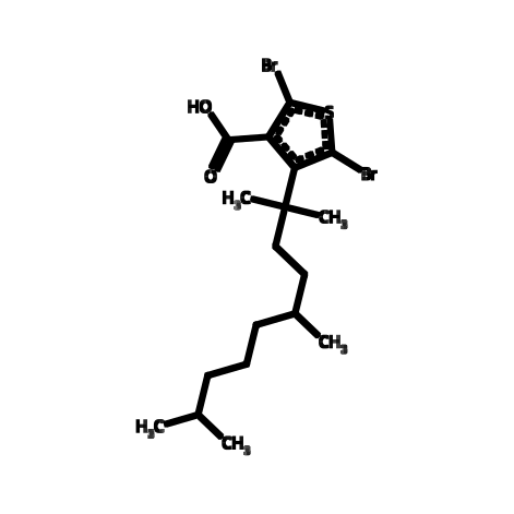 CC(C)CCCC(C)CCC(C)(C)c1c(Br)sc(Br)c1C(=O)O